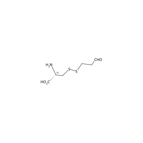 N[C@H](CSSCCC=O)C(=O)O